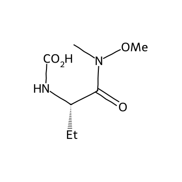 CC[C@H](NC(=O)O)C(=O)N(C)OC